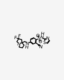 N#Cc1cc(NCC23CCCN2CC(F)(F)C3)ccc1S(=O)(=O)Nc1nccs1